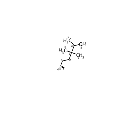 CC(C)CCC(C)(C)C(C)O